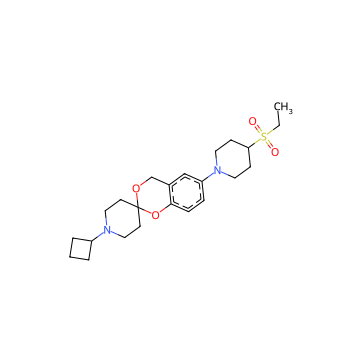 CCS(=O)(=O)C1CCN(c2ccc3c(c2)COC2(CCN(C4CCC4)CC2)O3)CC1